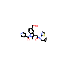 Cc1c(CC(=O)N(CC2CC2)c2nccs2)c2cc(CO)ccc2n1C(=O)c1ccncc1